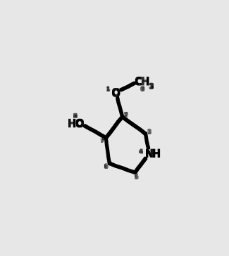 COC1CNCCC1O